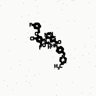 CN1CCN(Cc2ccc(NC(=O)c3sc4ncnc5c4c3NC(=O)N5c3cc(OCc4cccc(F)c4)c(Cl)cc3CI)cc2)CC1